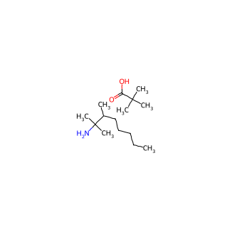 CC(C)(C)C(=O)O.CCCCCC(C)C(C)(C)N